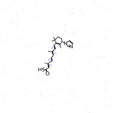 CC1=C(/C=C/C(C)=C/C=C/C(C)=C/C(=O)S)C(C)(C)CCC1n1ccnc1